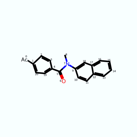 CC(=O)c1ccc(C(=O)N(C)c2ccc3ccccc3c2)cc1